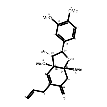 C=CCC1=C[C@]2(OC)[C@H](C)[C@@H](c3ccc(OC)c(OC)c3)O[C@]2(OC)CC1=O